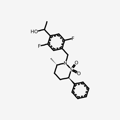 CC(O)c1cc(F)c(CN2[C@@H](C)CC[C@H](c3ccccc3)S2(=O)=O)cc1F